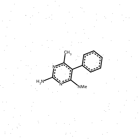 CNc1nc(N)nc(C)c1-c1ccccc1